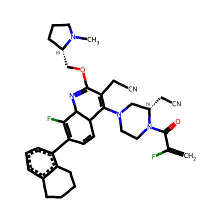 C=C(F)C(=O)N1CCN(C2=C(CC#N)C(OC[C@@H]3CCCN3C)=NC3C(F)=C(c4cccc5c4CCCC5)C=CC23)C[C@@H]1CC#N